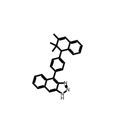 CC1=Cc2ccccc2C(c2ccc(-c3c4ccccc4cc4[nH]nnc34)cc2)C1(C)C